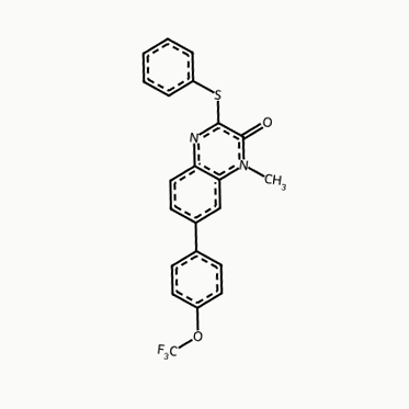 Cn1c(=O)c(Sc2ccccc2)nc2ccc(-c3ccc(OC(F)(F)F)cc3)cc21